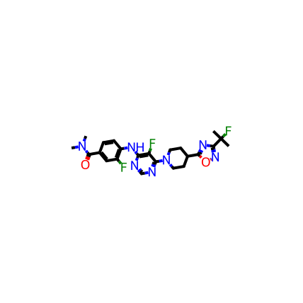 CN(C)C(=O)c1ccc(Nc2ncnc(N3CCC(c4nc(C(C)(C)F)no4)CC3)c2F)c(F)c1